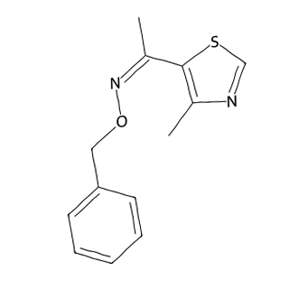 CC(=NOCc1ccccc1)c1scnc1C